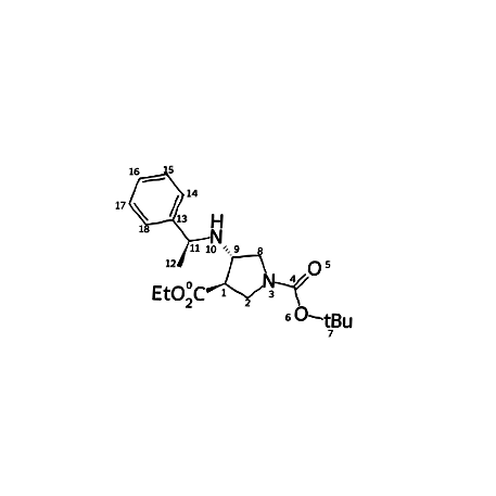 CCOC(=O)[C@@H]1CN(C(=O)OC(C)(C)C)C[C@H]1N[C@@H](C)c1ccccc1